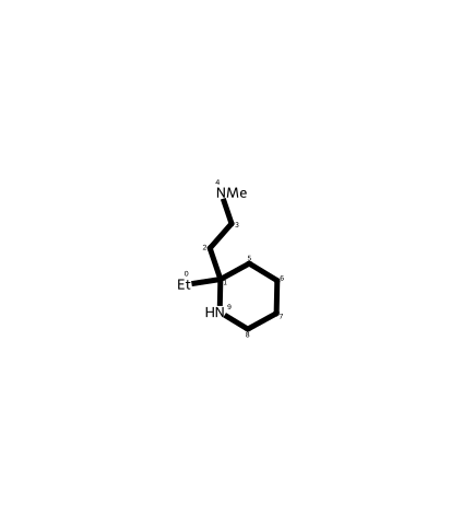 CCC1(CCNC)CCCCN1